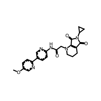 COc1ccc(-c2ccc(NC(=O)CN3CCCC4=C3C(=O)N(C3CC3)C4=O)nc2)nc1